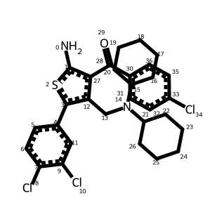 Nc1sc(-c2ccc(Cl)c(Cl)c2)c(CN(C2CCCCC2)C2CCCCC2)c1C(=O)c1ccc(Cl)cc1